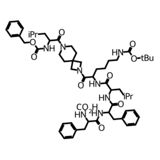 CC(C)CC(NC(=O)C(Cc1ccccc1)NC(=O)C(Cc1ccccc1)NC(=O)O)C(=O)NC(CCCCNC(=O)OC(C)(C)C)C(=O)N1CC2(CCN(C(=O)C(CC(C)C)NC(=O)OCc3ccccc3)CC2)C1